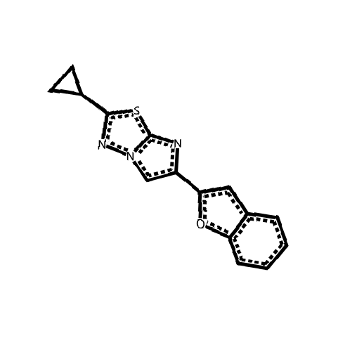 c1ccc2oc(-c3cn4nc(C5CC5)sc4n3)cc2c1